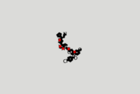 COc1ccc2c(c1)c(CC(=O)OCn1ccc3c(-c4cnn([C@H](CC#N)C5CCCC5)c4)ncnc31)c(C)n2C(=O)c1ccc(Cl)cc1